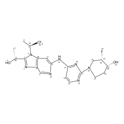 C[C@H](n1c([C@@H](C)O)nc2cnc(Nc3ccnc(N4CC[C@@H](O)[C@@H](F)C4)n3)cc21)C(F)(F)F